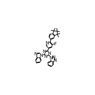 CC1(C)c2ccc(-c3ncc(-c4nc(-n5cnc6ccccc65)nc(-n5nnc6ccccc65)n4)cc3F)cc2C(C)(C)C1(C)C